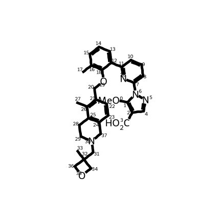 COc1c(C(=O)O)cnn1-c1cccc(-c2cccc(C)c2OCc2ccc3c(c2C)CCN(CC2(C)COC2)C3)n1